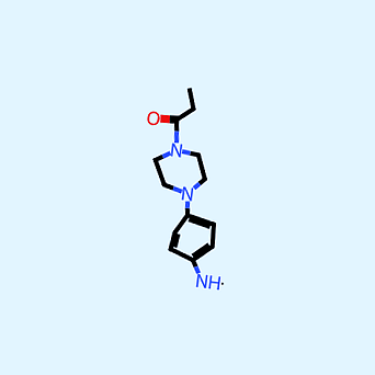 CCC(=O)N1CCN(c2ccc([NH])cc2)CC1